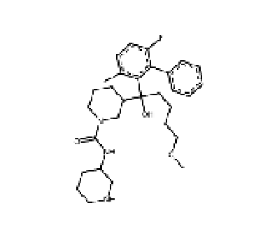 COCCCCC(O)(c1c(C)ccc(F)c1-c1ccccc1)C1CCCN(C(=O)NC2CCCNC2)C1